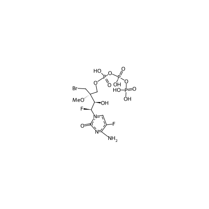 CO[C@](CBr)(COP(=O)(O)OP(=O)(O)OP(=O)(O)O)[C@@H](O)[C@H](F)n1cc(F)c(N)nc1=O